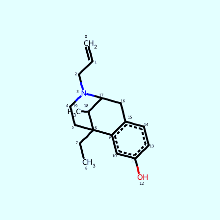 C=CCN1CCC2(CC)c3cc(O)ccc3CC1C2C